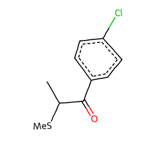 CSC(C)C(=O)c1ccc(Cl)cc1